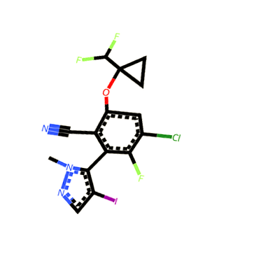 Cn1ncc(I)c1-c1c(F)c(Cl)cc(OC2(C(F)F)CC2)c1C#N